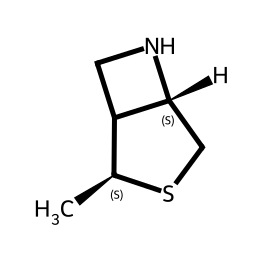 C[C@@H]1SC[C@H]2NCC12